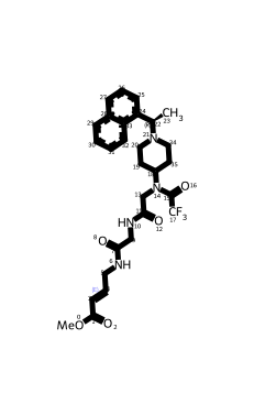 COC(=O)/C=C/CNC(=O)CNC(=O)CN(C(=O)C(F)(F)F)C1CCN([C@H](C)c2cccc3ccccc23)CC1